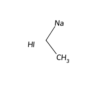 C[CH2][Na].I